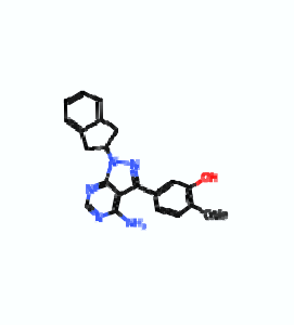 COc1ccc(-c2nn(C3Cc4ccccc4C3)c3ncnc(N)c23)cc1O